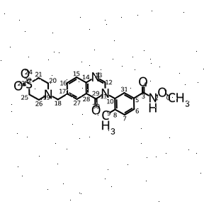 CONC(=O)c1ccc(C)c(-n2cnc3ccc(CN4CCS(=O)(=O)CC4)cc3c2=O)c1